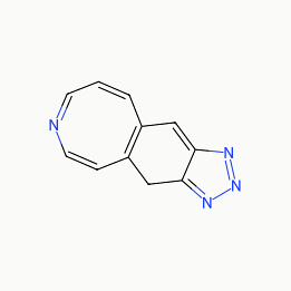 C1=CC2=C(C=CN=C1)CC1=NN=NC1=C2